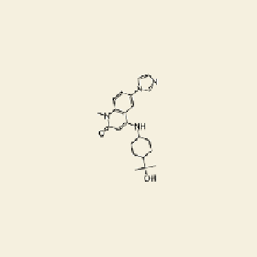 Cn1c(=O)cc(NC2CCC(C(C)(C)O)CC2)c2cc(-n3ccnc3)ccc21